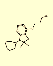 CC1(C)Cc2c(OCCCBr)cccc2C1N1CCCCC1